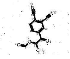 CC(OC=O)C(=O)c1ccc(C#N)c(C#N)c1